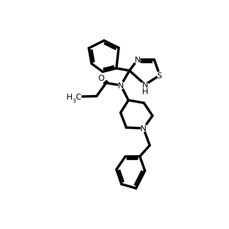 CCC(=O)N(C1CCN(Cc2ccccc2)CC1)C1(c2ccccc2)N=CSN1